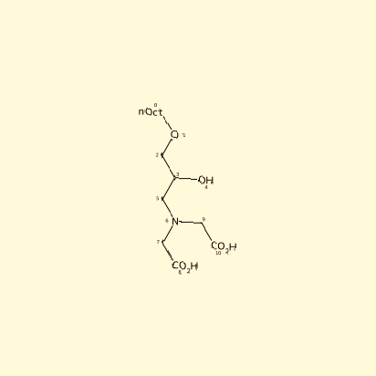 CCCCCCCCOCC(O)CN(CC(=O)O)CC(=O)O